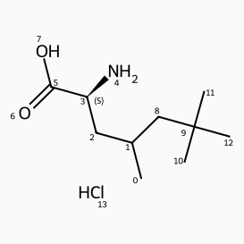 CC(C[C@H](N)C(=O)O)CC(C)(C)C.Cl